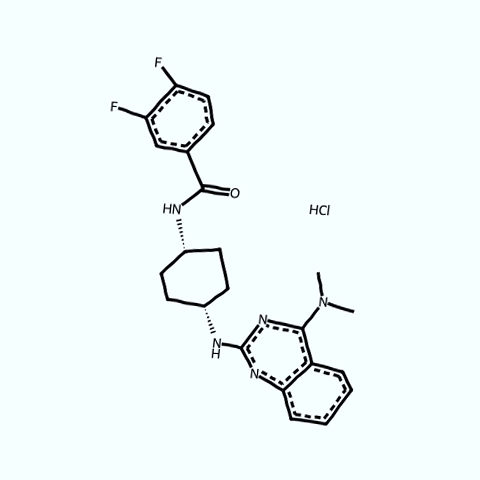 CN(C)c1nc(N[C@H]2CC[C@@H](NC(=O)c3ccc(F)c(F)c3)CC2)nc2ccccc12.Cl